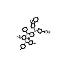 Cc1ccc(N2c3ccc(C)cc3B3c4ccc(N(c5ccc(C(C)(C)C)cc5)c5ccc6oc7ccccc7c6c5)cc4N(c4ccccc4)c4cc([Si](C)(C)C)cc2c43)cc1